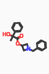 CC(O)(C(=O)OC1CN(Cc2ccccc2)C1)c1ccccc1